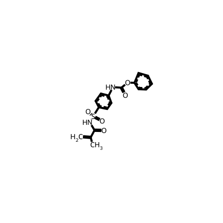 C=C(C)C(=O)NS(=O)(=O)c1ccc(NC(=O)Oc2ccccc2)cc1